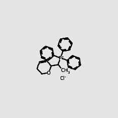 CC(C1C=CCCO1)[P+](c1ccccc1)(c1ccccc1)c1ccccc1.[Cl-]